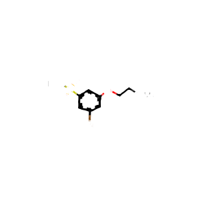 COCCOc1cc(Br)cc(S(C)(=O)=O)c1